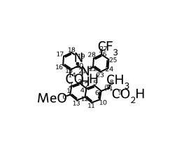 COc1ccc2cc([C@H](C)C(=O)O)ccc2c1.O=C(O)c1cccnc1Nc1cccc(C(F)(F)F)c1